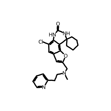 CN(CCc1ccccn1)Cc1cc2cc(Cl)c3c(c2o1)C1(CCCCC1)NC(=O)N3